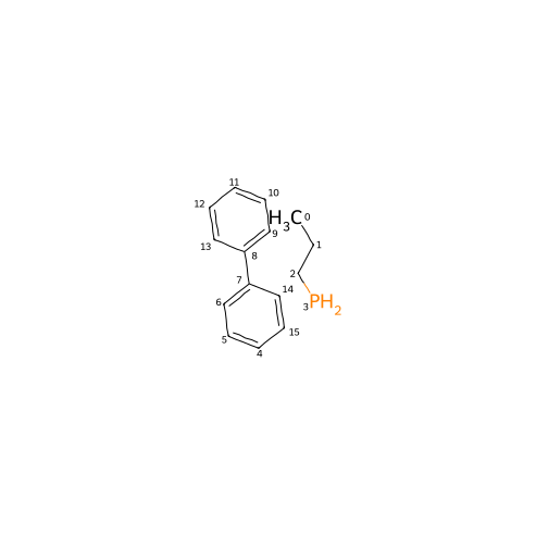 CCCP.c1ccc(-c2ccccc2)cc1